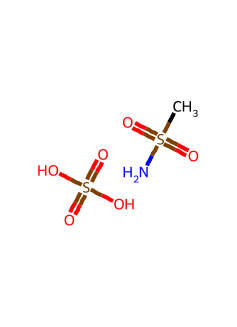 CS(N)(=O)=O.O=S(=O)(O)O